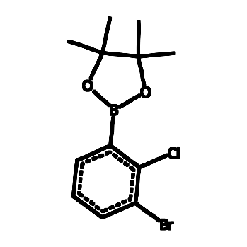 CC1(C)OB(c2cccc(Br)c2Cl)OC1(C)C